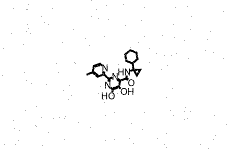 Cc1ccnc(-c2nc(O)c(O)c(C(=O)NC3(C4CCCCC4)CC3)n2)c1